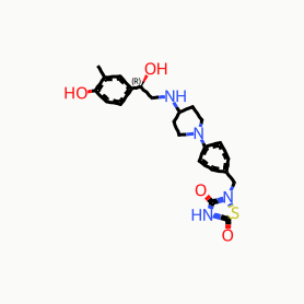 Cc1cc([C@@H](O)CNC2CCN(c3ccc(Cn4sc(=O)[nH]c4=O)cc3)CC2)ccc1O